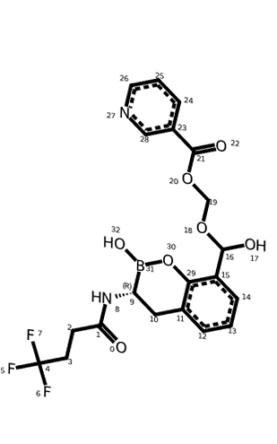 O=C(CCC(F)(F)F)N[C@H]1Cc2cccc(C(O)OCOC(=O)c3cccnc3)c2OB1O